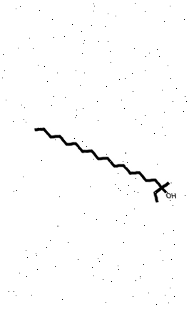 [CH2]C(O)(CC)CCCCCCCCCCCCCCCC